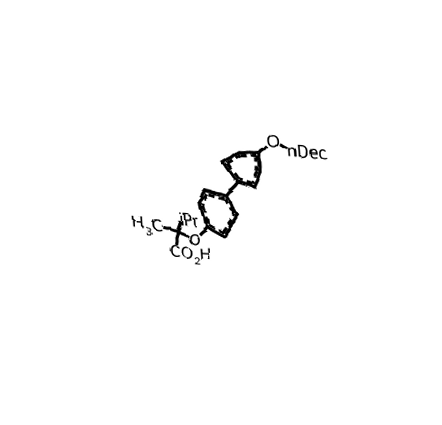 CCCCCCCCCCOc1ccc(-c2ccc(OC(C)(C(=O)O)C(C)C)cc2)cc1